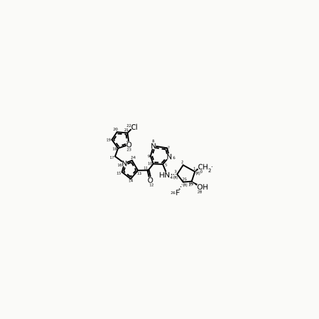 [CH2][C@@H]1C[C@@H](Nc2ncncc2C(=O)c2ccn(Cc3ccc(Cl)o3)c2)[C@@H](F)[C@@H]1O